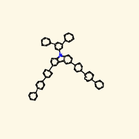 c1ccc(-c2ccc(-c3ccc(-c4ccc5c(c4)c4cc(-c6ccc(-c7ccc(-c8ccccc8)cc7)cc6)ccc4n5-c4cc(-c5ccccc5)cc(-c5ccccc5)c4)cc3)cc2)cc1